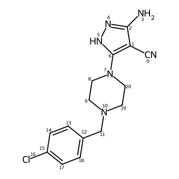 N#Cc1c(N)n[nH]c1N1CCN(Cc2ccc(Cl)cc2)CC1